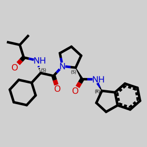 CC(C)C(=O)N[C@H](C(=O)N1CCC[C@H]1C(=O)N[C@@H]1CCc2ccccc21)C1CCCCC1